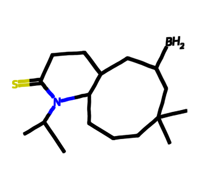 BC1CC2CCC(=S)N(C(C)C)C2CCCC(C)(C)C1